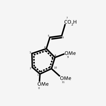 COc1ccc(C=CC(=O)O)c(OC)c1OC